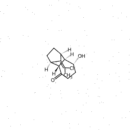 C/C(Cl)=C1/[C@H]2CC[C@@H]1[C@H]1C(=O)CC[C@@H](O)[C@@H]12